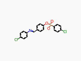 O=S(=O)(Oc1ccc(/C=N/c2ccc(Cl)cc2)cc1)c1ccc(Cl)cc1